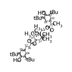 CC(C(=O)OCCN1C(C)(C)CC(OC(=O)CCc2cc(C(C)(C)C)c(O)c(C(C)(C)C)c2)CC1(C)C)c1cc(C(C)(C)C)c(O)c(C(C)(C)C)c1